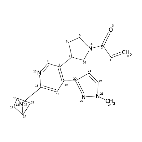 C=CC(=O)N1CCC(c2cnc(N3CC4CC3C4)cc2-c2ccn(C)n2)C1